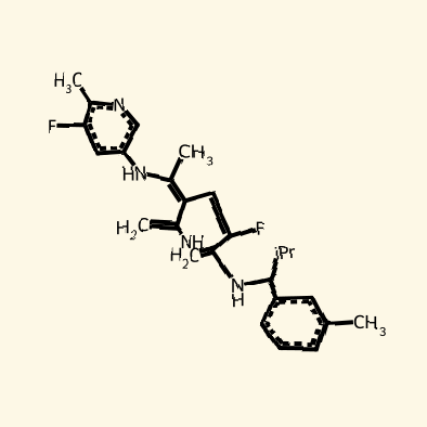 C=C(N)C(/C=C(/F)C(=C)NC(c1cccc(C)c1)C(C)C)=C(/C)Nc1cnc(C)c(F)c1